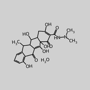 CC1c2cccc(O)c2C(=O)C2=C(O)C3(O)C(=O)C(C(=O)NN(C)C)=C(O)CC3C(O)C21.O